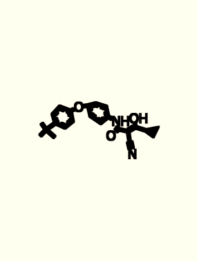 CC(C)(C)c1ccc(Oc2ccc(NC(=O)C(C#N)=C(O)C3CC3)cc2)cc1